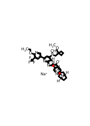 CCOc1ncc(-c2cc(N(C)CC3(COC)CCC3)c3[nH]c(-c4cnc(N5[C@@H]6CC[C@H]5CC(OCC(=O)[O-])C6)cn4)nc3n2)cc1C(F)(F)F.[Na+]